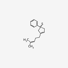 CC(C)=CCCC1=CCP(=S)(c2ccccc2)C1